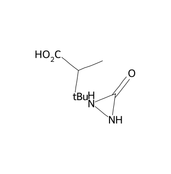 CC(C(=O)O)C(C)(C)C.O=C1NN1